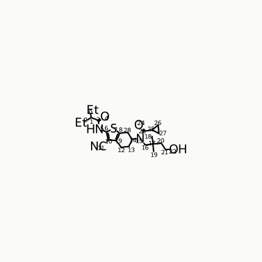 CCC(CC)C(=O)Nc1sc2c(c1C#N)CCC(N(CC(C)(C)CCO)C(=O)C1CC1)C2